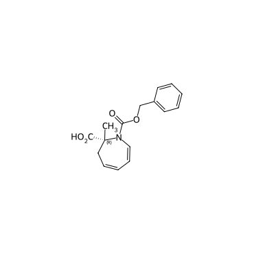 C[C@]1(C(=O)O)CC=CC=CN1C(=O)OCc1ccccc1